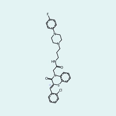 O=C(CN1C(=O)/C(=C/c2ccccc2Cl)Sc2ccccc21)NCCCN1CCN(c2ccc(F)cc2)CC1